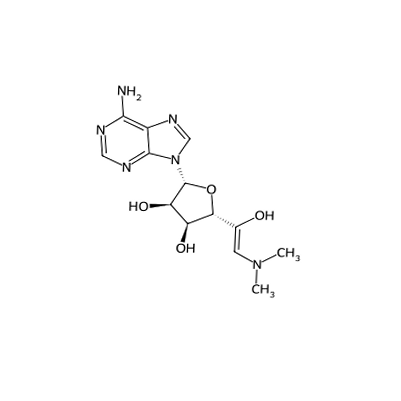 CN(C)/C=C(\O)[C@H]1O[C@@H](n2cnc3c(N)ncnc32)[C@H](O)[C@@H]1O